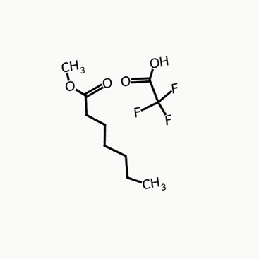 CCCCCCC(=O)OC.O=C(O)C(F)(F)F